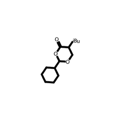 CCC(C)C1COC(C2CCCCC2)OC1=O